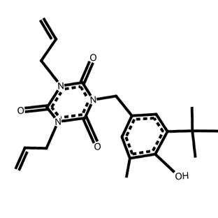 C=CCn1c(=O)n(CC=C)c(=O)n(Cc2cc(C)c(O)c(C(C)(C)C)c2)c1=O